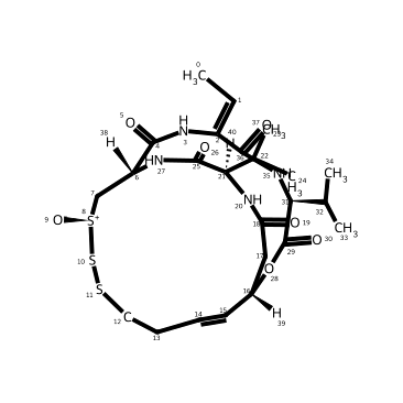 C/C=C1\NC(=O)[C@H]2C[S@+]([O-])SSCC/C=C/[C@H](CC(=O)N[C@H](C(C)C)C(=O)N2)OC(=O)[C@H](C(C)C)NC1=O